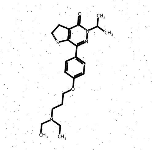 CCN(CC)CCCOc1ccc(-c2nn(C(C)C)c(=O)c3c2SCC3)cc1